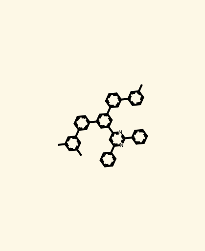 Cc1cccc(-c2cccc(-c3cc(-c4cccc(-c5cc(C)cc(C)c5)c4)cc(-c4cc(-c5ccccc5)nc(-c5ccccc5)n4)c3)c2)c1